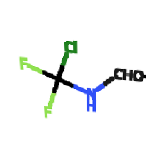 O=[C]NC(F)(F)Cl